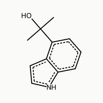 CC(C)(O)c1cccc2[nH]ccc12